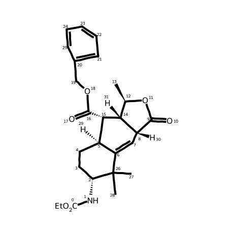 CCOC(=O)N[C@@H]1CC[C@@H]2C(=C[C@H]3C(=O)O[C@H](C)[C@H]3[C@H]2C(=O)OCc2ccccc2)C1(C)C